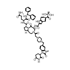 Cn1c(=O)n(C2CCC(=O)NC2=O)c2ccc(CN3CCN(CC(=O)N4CC[C@H]5CC[C@@H](C(=O)NC(CCC(N)=O)C(=O)NC(c6ccccc6)c6ccccc6)N5C(=O)[C@@H](NC(=O)c5cc6cc(C(=O)P(=O)(O)O)ccc6[nH]5)C4)CC3)cc21